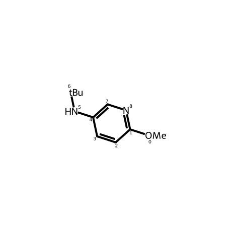 COc1ccc(NC(C)(C)C)cn1